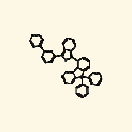 c1ccc(-c2cccc(-c3sc(-c4cccc5c4-c4ccccc4[Si]5(c4ccccc4)c4ccccc4)c4ccccc34)c2)cc1